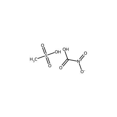 CS(=O)(=O)O.O=C(O)[N+](=O)[O-]